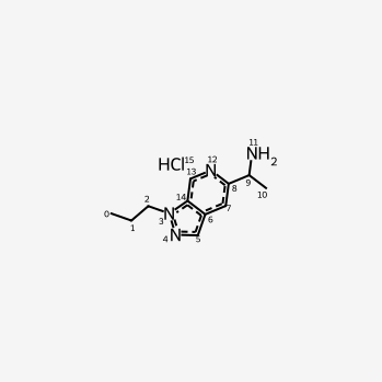 CCCn1ncc2cc(C(C)N)ncc21.Cl